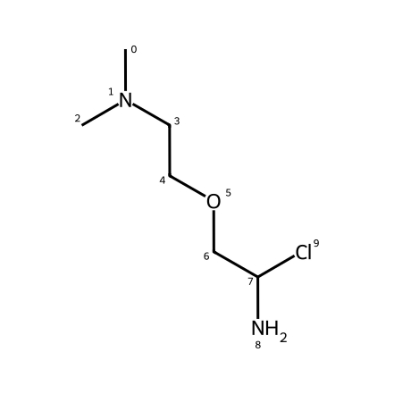 CN(C)CCOCC(N)Cl